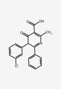 Cc1nc(-c2ccccc2)n(-c2cccc(Cl)c2)c(=O)c1C(=O)O